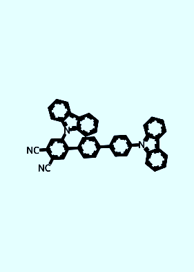 N#Cc1cc(-c2ccc(-c3ccc(-n4c5ccccc5c5ccccc54)cc3)cc2)c(-n2c3ccccc3c3ccccc32)cc1C#N